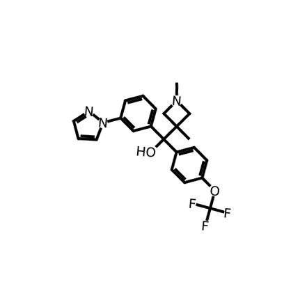 CN1CC(C)(C(O)(c2ccc(OC(F)(F)F)cc2)c2cccc(-n3cccn3)c2)C1